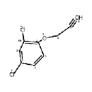 C#CCOc1[c]cc(Cl)cc1Cl